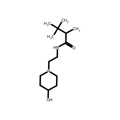 CC(C(=O)NCCN1CCC(O)CC1)C(C)(C)C